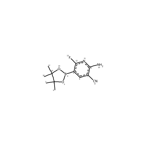 CC1(C)OB(c2cc(C#N)c(N)nc2F)OC1(C)C